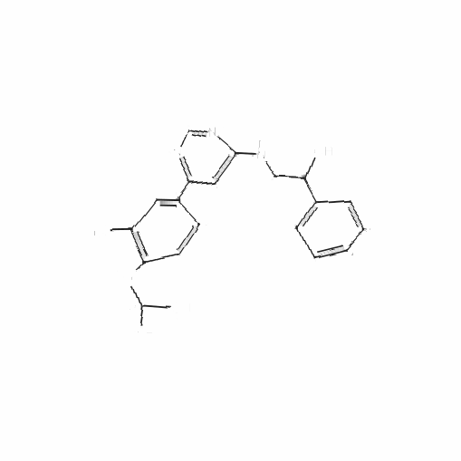 Cc1cc(-c2cc(NCC(O)c3ccccc3)ncn2)ccc1OC(C)C